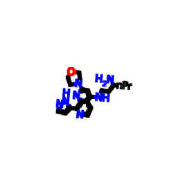 CCCC(N)CCNc1cc(N2CCOCC2)nc2c(-c3ccn[nH]3)nccc12